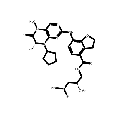 CCCN(CC)C[C@H](CNC(=O)c1ccc(Nc2ncc3c(n2)N(C2CCCC2)[C@H](CC)C(=O)N3C)c2c1CCO2)OC